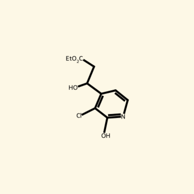 CCOC(=O)CC(O)c1ccnc(O)c1Cl